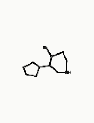 CCN1CCNCC1C1CCCC1